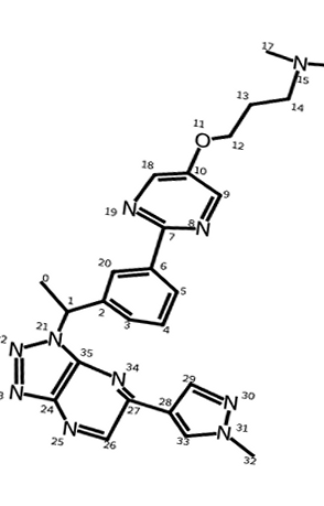 CC(c1cccc(-c2ncc(OCCCN(C)C)cn2)c1)n1nnc2ncc(-c3cnn(C)c3)nc21